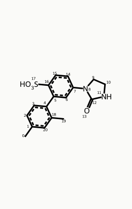 Cc1ccc(-c2cc(N3CCNC3=O)ccc2S(=O)(=O)O)c(C)c1